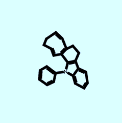 C1=C\C2=C(/C=C/CC/1)c1c(c3ccccc3n1-c1ccccc1)CC2